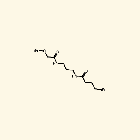 CC(C)CCCC(=O)NCCCNC(=O)COC(C)C